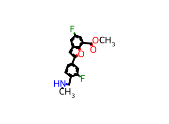 CNCc1ccc(-c2cc3cc(F)cc(C(=O)OC)c3o2)cc1F